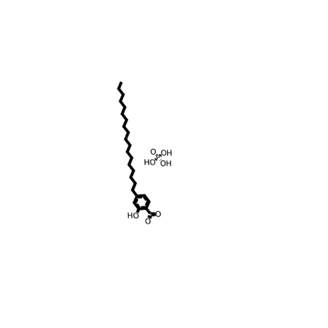 CCCCCCCCCCCCCCCCCCc1ccc(I(=O)=O)c(O)c1.O=P(O)(O)O